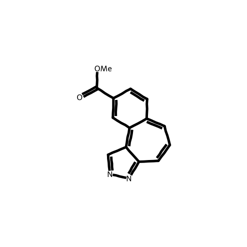 COC(=O)c1ccc2cccc3nncc-3c2c1